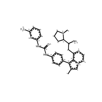 Cc1cn2ncnc(CC(N)C3CCCN3C)c2c1-c1ccc(NC(=O)Nc2cccc(C(F)(F)F)n2)cc1